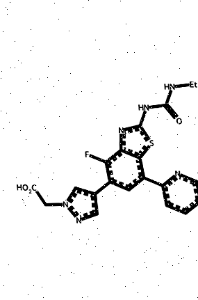 CCNC(=O)Nc1nc2c(F)c(-c3cnn(CC(=O)O)c3)cc(-c3ccccn3)c2s1